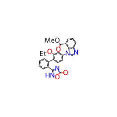 CCOc1cc(-n2cnc3cccc(C(=O)OC)c32)ccc1-c1ccccc1-c1nc(=O)o[nH]1